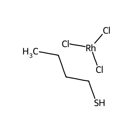 CCCCS.[Cl][Rh]([Cl])[Cl]